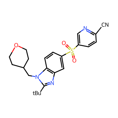 CC(C)(C)c1nc2cc(S(=O)(=O)c3ccc(C#N)nc3)ccc2n1CC1CCOCC1